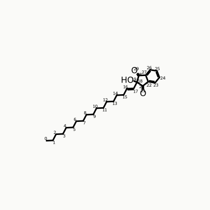 CCCCCCCCCCCCCCCCC=CC1(O)C(=O)c2ccccc2C1=O